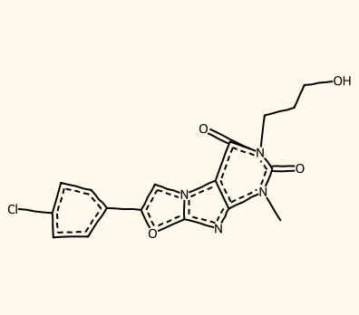 Cn1c(=O)n(CCCO)c(=O)c2c1nc1oc(-c3ccc(Cl)cc3)cn12